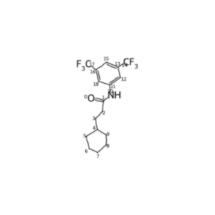 O=C(CCC1CCCCC1)Nc1cc(C(F)(F)F)cc(C(F)(F)F)c1